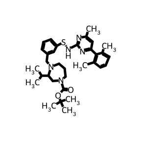 Cc1cc(-c2c(C)cccc2C)nc(NSc2cccc(CN3CCCN(C(=O)OC(C)(C)C)CC3C(C)C)c2)n1